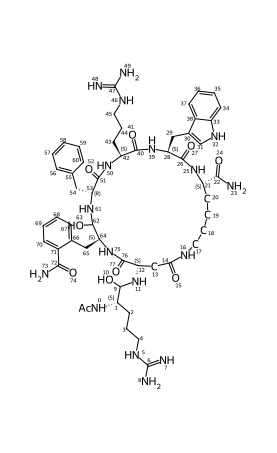 CC(=O)N[C@@H](CCCNC(=N)N)C(O)N[C@H]1CC(=O)NCCCC[C@@H](C(N)=O)NC(=O)[C@H](Cc2c[nH]c3ccccc23)NC(=O)[C@H](CCCNC(=N)N)NC(=O)[C@@H](Cc2ccccc2)NC(O)[C@H](Cc2ccccc2C(N)=O)NC1=O